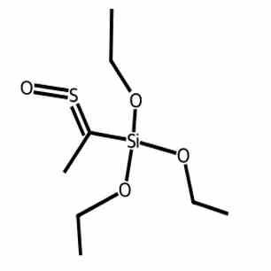 CCO[Si](OCC)(OCC)C(C)=S=O